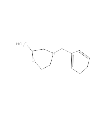 O=C(O)C1CN(CC2=CCCC=C2)CCO1